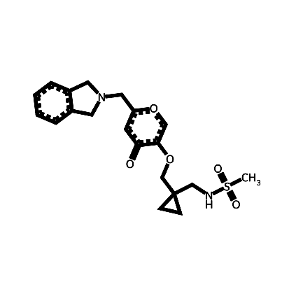 CS(=O)(=O)NCC1(COc2coc(CN3Cc4ccccc4C3)cc2=O)CC1